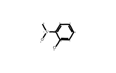 C[S+]([O-])c1ccccc1Cl